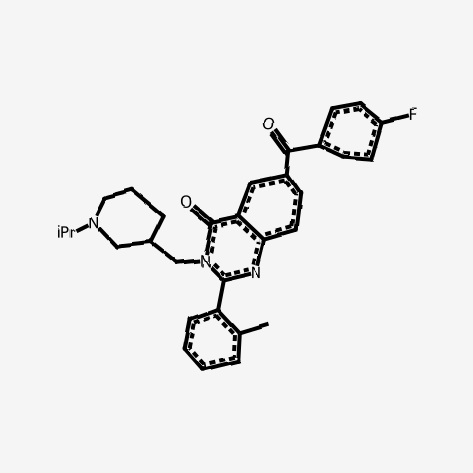 Cc1ccccc1-c1nc2ccc(C(=O)c3ccc(F)cc3)cc2c(=O)n1CC1CCCN(C(C)C)C1